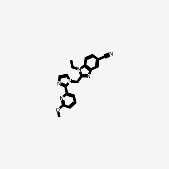 CCn1c(Cn2ccnc2-c2cccc(OC)n2)nc2cc(C#N)ccc21